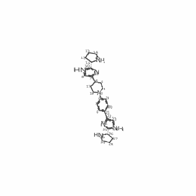 c1cc(N2CCC(c3c[nH]c([C@@H]4CCCN4)n3)CC2)ccc1-c1c[nH]c([C@@H]2CCCN2)n1